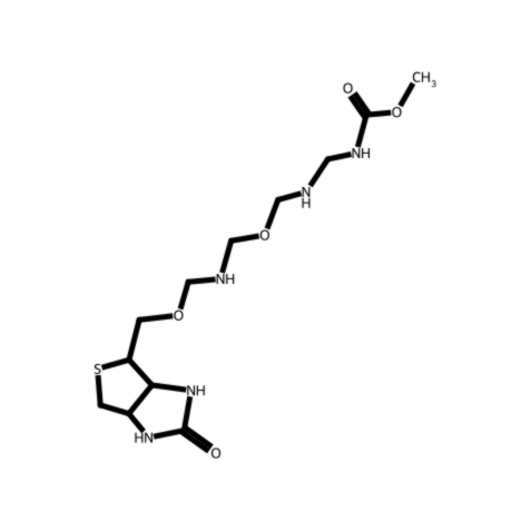 COC(=O)NCNCOCNCOCC1SCC2NC(=O)NC21